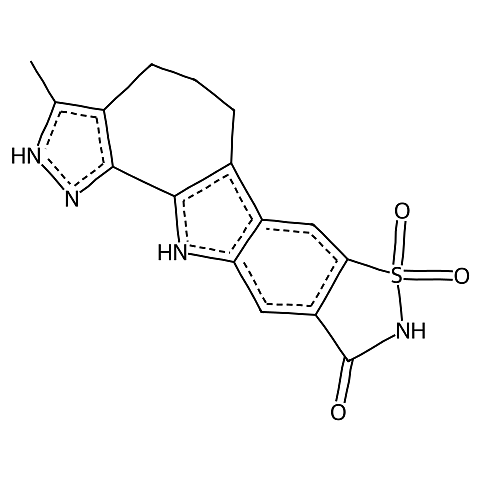 Cc1[nH]nc2c1CCCc1c-2[nH]c2cc3c(cc12)S(=O)(=O)NC3=O